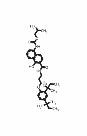 CCC(C)(C)c1ccc(OCCCNC(=O)c2ccc3c(NC(=O)OCC(C)C)cccc3c2O)c(C(C)(C)CC)c1